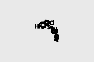 CC(C)(C)COc1ccc(CSc2c(Cl)ccc3c2CCNCC3)nn1